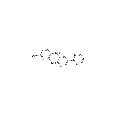 CC(=O)c1ccc(Nc2cccc(-c3ccccn3)c2)c([N+](=O)[O-])c1